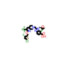 O=C(O)c1ccc2nc(CN3CCc4cc(C(F)(F)F)c(OCc5sc(Cl)cc5F)nc4C3)n(C[C@@H]3CCO3)c2c1F